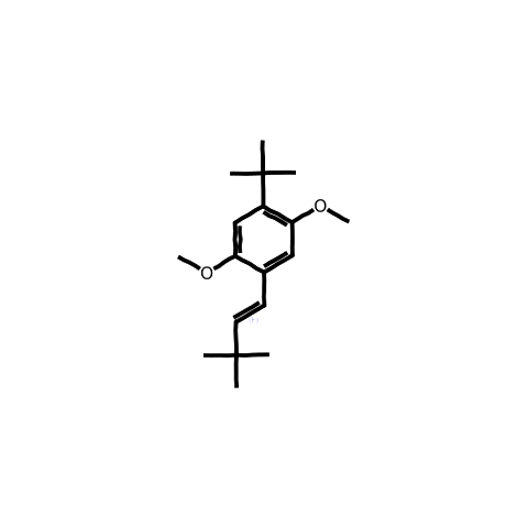 COc1cc(C(C)(C)C)c(OC)cc1/C=C/C(C)(C)C